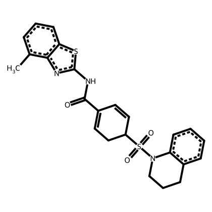 Cc1cccc2sc(NC(=O)C3=CCC(S(=O)(=O)N4CCCc5ccccc54)C=C3)nc12